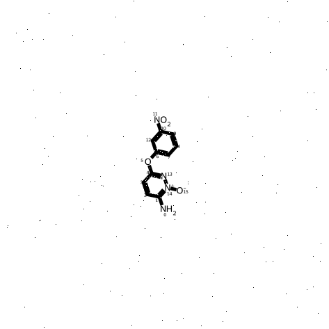 Nc1ccc(Oc2cccc([N+](=O)[O-])c2)n[n+]1[O-]